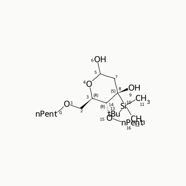 CCCCCOC[C@H]1OC(O)C[C@](O)([Si](C)(C)C(C)(C)C)[C@@H]1OCCCCC